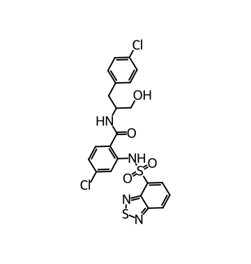 O=C(NC(CO)Cc1ccc(Cl)cc1)c1ccc(Cl)cc1NS(=O)(=O)c1cccc2nsnc12